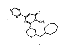 Cn1c(N2CCOC(CC3CCCCCC3)C2)nc(-c2ccncn2)cc1=O